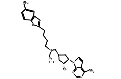 CC(C)N(CCCCc1nc2cc(C(C)(C)C)ccc2[nH]1)C[C@H]1C[C@@H](n2ccc3c(N)ncnc32)[C@H](O)[C@@H]1O